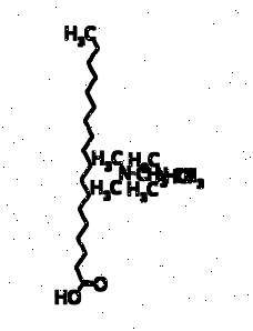 CCCCCCCCCCCCCCCCCC(=O)O.CN(C)C.CN(C)C.Cl